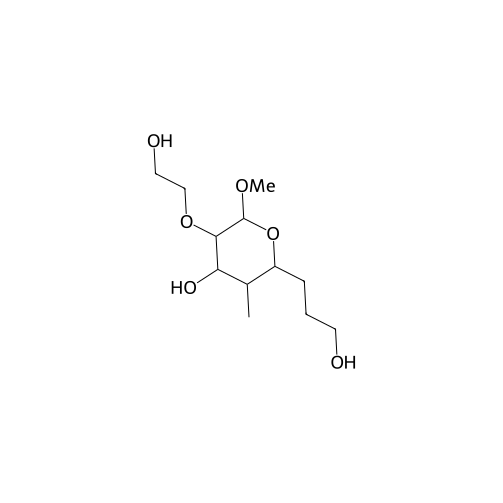 COC1OC(CCCO)C(C)C(O)C1OCCO